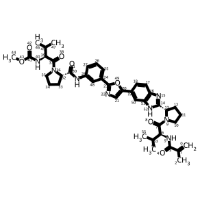 C=C(C)C(=O)N[C@H](C(=O)N1CCC[C@H]1c1nc2ccc(-c3cnc(-c4cccc(NC(=O)[C@@H]5CCCN5C(=O)[C@@H](NC(=O)OC)C(C)C)c4)o3)cc2[nH]1)C(C)C